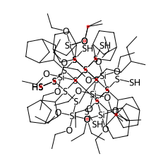 CCO[Si](OCC)(OCC)SS(SS)(C1CC2CCC1C2)C(C)(C(CCC(C)CC)(S(SS)(S[Si](OCC)(OCC)OCC)C1CC2CCC1C2)S(SS)(S[Si](OCC)(OCC)OCC)C1CC2CCC1C2)C(S(SS)(S[Si](OCC)(OCC)OCC)C1CC2CCC1C2)(S(SS)(S[Si](OCC)(OCC)OCC)C1CC2CCC1C2)S(SS)(S[Si](OCC)(OCC)OCC)C1CC2CCC1C2